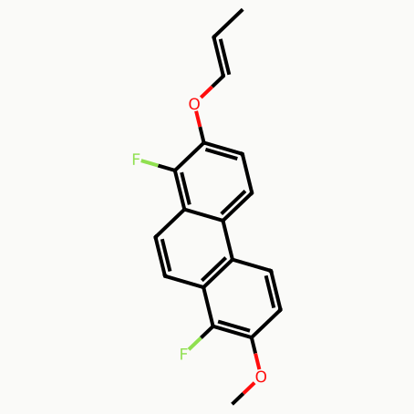 C/C=C/Oc1ccc2c(ccc3c(F)c(OC)ccc32)c1F